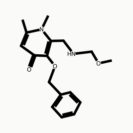 COCNCc1c(OCc2ccccc2)c(=O)cc(C)n1C